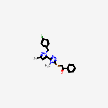 Cn1c(SCC(=O)c2ccccc2)nnc1-c1cc(C(C)(C)C)nn1Cc1ccc(F)cc1